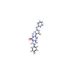 CC1CN(Cc2cnccn2)CC1C1=NC2=CN(c3ccc(F)cc3)CN2C(=O)N1